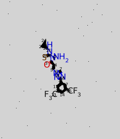 NN(C(=O)C=Cn1cnc(-c2cc(C(F)(F)F)cc(C(F)(F)F)c2)n1)C(=S)NC1CC1